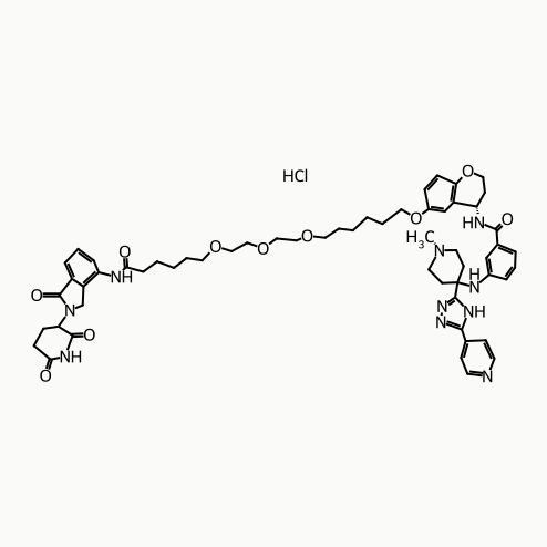 CN1CCC(Nc2cccc(C(=O)N[C@H]3CCOc4ccc(OCCCCCCOCCOCCOCCCCCC(=O)Nc5cccc6c5CN(C5CCC(=O)NC5=O)C6=O)cc43)c2)(c2nnc(-c3ccncc3)[nH]2)CC1.Cl